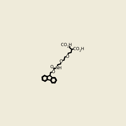 O=C(O)CC(CCOCCOCCNC(=O)OCC1c2ccccc2-c2ccccc21)C(=O)O